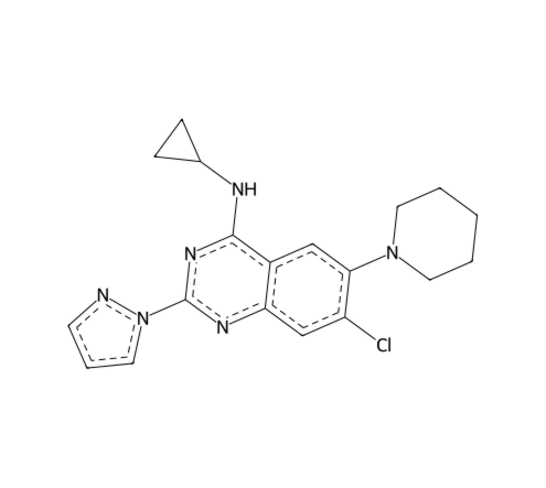 Clc1cc2nc(-n3cccn3)nc(NC3CC3)c2cc1N1CCCCC1